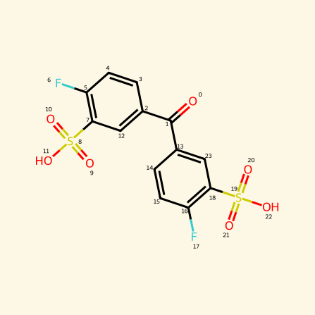 O=C(c1ccc(F)c(S(=O)(=O)O)c1)c1ccc(F)c(S(=O)(=O)O)c1